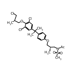 CC(=O)N(C[C@@H](C)COc1ccc(C(C)(C)c2cc(Cl)c(OC[C@@H](C)CCl)c(Cl)c2)cc1)S(C)(=O)=O